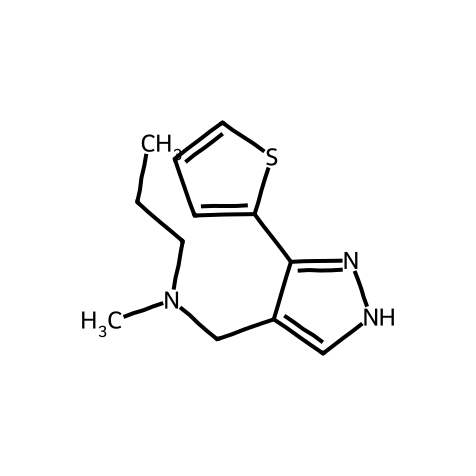 CCCN(C)Cc1c[nH]nc1-c1cccs1